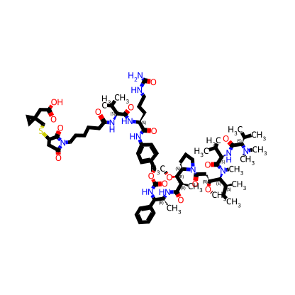 CC[C@H](C)[C@@H]([C@@H](CC(=O)N1CCC[C@H]1[C@H](OC)[C@@H](C)C(=O)N[C@H](C)C(NC(=O)OCc1ccc(NC(=O)[C@H](CCCNC(N)=O)NC(=O)[C@@H](NC(=O)CCCCCN2C(=O)CC(SCC3(CC(=O)O)CC3)C2=O)C(C)C)cc1)c1ccccc1)OC)N(C)C(=O)[C@@H](NC(=O)[C@H](C(C)C)N(C)C)C(C)C